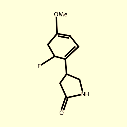 COC1=CC=C(C2CNC(=O)C2)C(F)C1